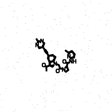 CC(=O)c1cn(CC(=O)N2CCC2C(=O)Nc2cccc(C)n2)c2ccc(C#Cc3cnc(C)nc3)cc12